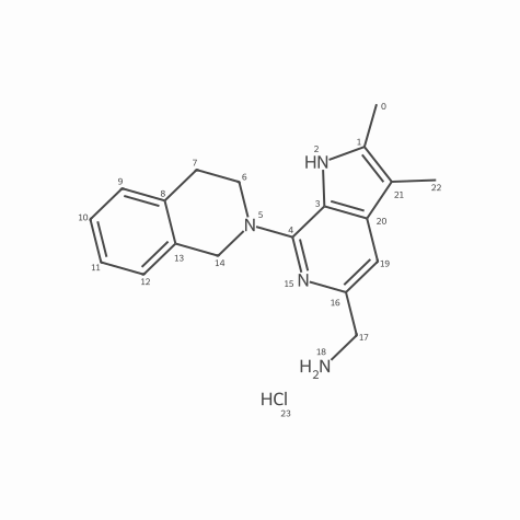 Cc1[nH]c2c(N3CCc4ccccc4C3)nc(CN)cc2c1C.Cl